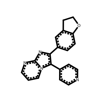 c1cnc2nc(-c3ccc4c(c3)CCO4)c(-c3ccncc3)n2c1